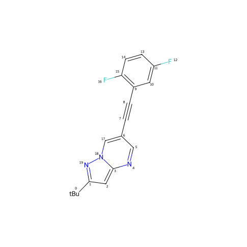 CC(C)(C)c1cc2ncc(C#Cc3cc(F)ccc3F)cn2n1